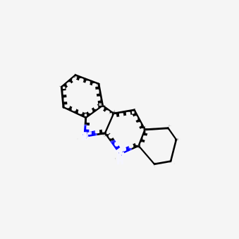 c1ccc2c3cc4c([nH]c-3nc2c1)CCCC4